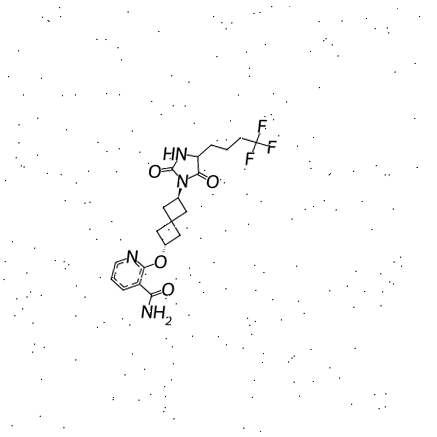 NC(=O)c1cccnc1O[C@H]1CC2(C1)C[C@H](N1C(=O)NC(CCCC(F)(F)F)C1=O)C2